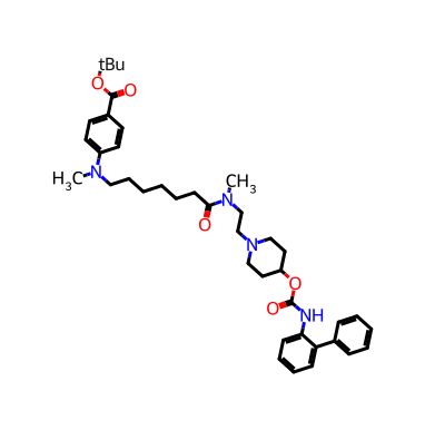 CN(CCN1CCC(OC(=O)Nc2ccccc2-c2ccccc2)CC1)C(=O)CCCCCCN(C)c1ccc(C(=O)OC(C)(C)C)cc1